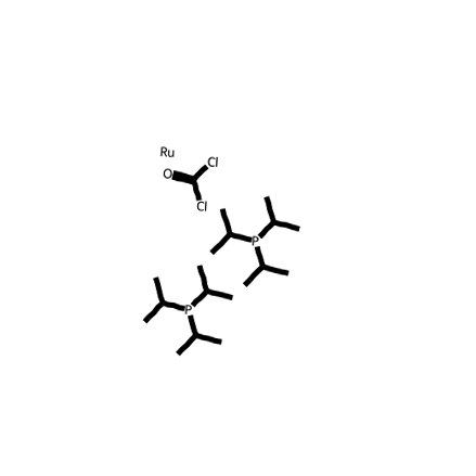 CC(C)P(C(C)C)C(C)C.CC(C)P(C(C)C)C(C)C.O=C(Cl)Cl.[Ru]